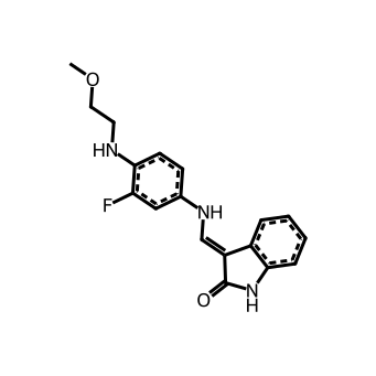 COCCNc1ccc(N/C=C2/C(=O)Nc3ccccc32)cc1F